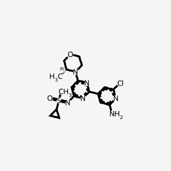 C[C@@H]1COCCN1c1cc(N=S(C)(=O)C2CC2)nc(-c2cc(N)nc(Cl)c2)n1